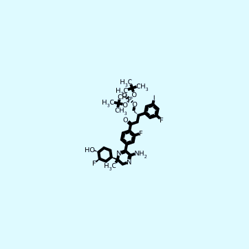 CC(C)(C)OP(=O)(OC[C@@H](CC(=O)c1ccc(C2=NC(C)([C@@H]3CC[C@@H](O)[C@H](F)C3)CN=C2N)cc1F)c1cc(F)cc(I)c1)OC(C)(C)C